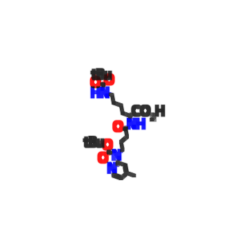 Cc1ccnc(N(CCCC(=O)N[C@@H](CCCCNC(=O)OC(C)(C)C)C(=O)O)C(=O)OC(C)(C)C)c1